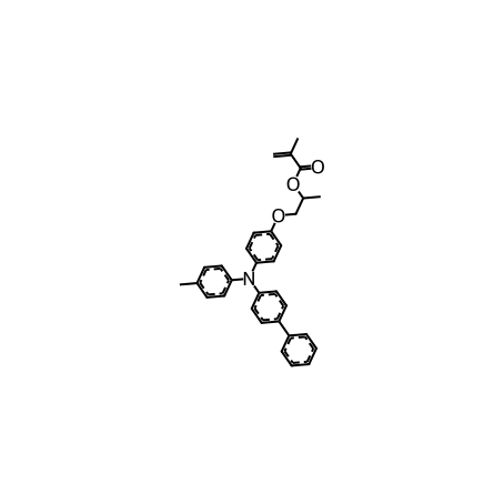 C=C(C)C(=O)OC(C)COc1ccc(N(c2ccc(C)cc2)c2ccc(-c3ccccc3)cc2)cc1